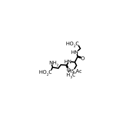 CC(C)=O.NC(CCC(=O)NC(CS)C(=O)NCC(=O)O)C(=O)O